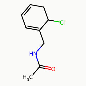 CC(=O)NCC1=CC=CCC1Cl